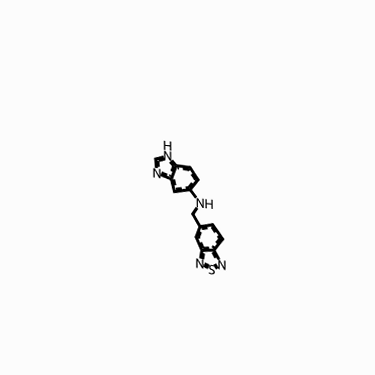 c1nc2cc(NCc3ccc4nsnc4c3)ccc2[nH]1